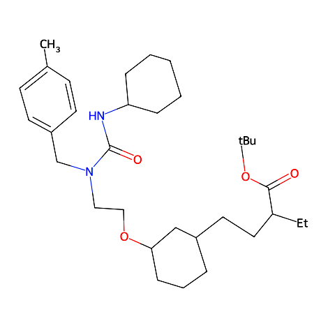 CCC(CCC1CCCC(OCCN(Cc2ccc(C)cc2)C(=O)NC2CCCCC2)C1)C(=O)OC(C)(C)C